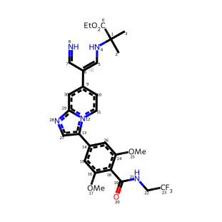 CCOC(=O)C(C)(C)N/C=C(\C=N)c1ccn2c(-c3cc(OC)c(C(=O)NCC(F)(F)F)c(OC)c3)cnc2c1